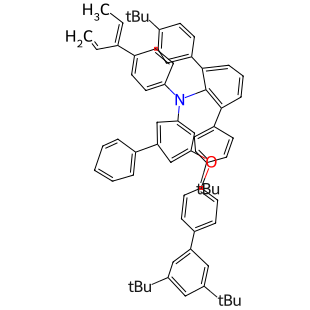 C=C/C(=C\C)c1ccc(N(c2cc(Oc3ccc(-c4cc(C(C)(C)C)cc(C(C)(C)C)c4)cc3)cc(-c3ccccc3)c2)c2c(-c3ccc(C(C)(C)C)cc3)cccc2-c2ccc(C(C)(C)C)cc2)cc1